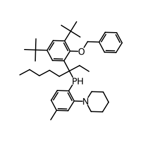 CCCCCC(CC)(Pc1ccc(C)cc1N1CCCCC1)c1cc(C(C)(C)C)cc(C(C)(C)C)c1OCc1ccccc1